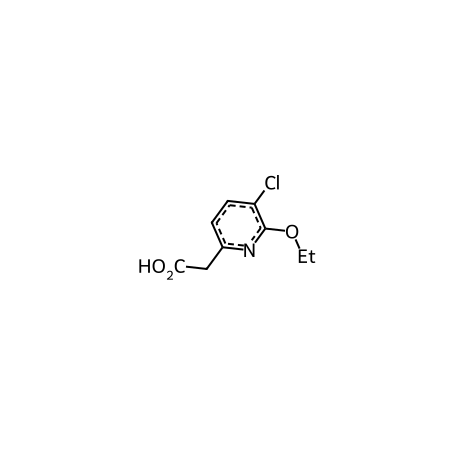 CCOc1nc(CC(=O)O)ccc1Cl